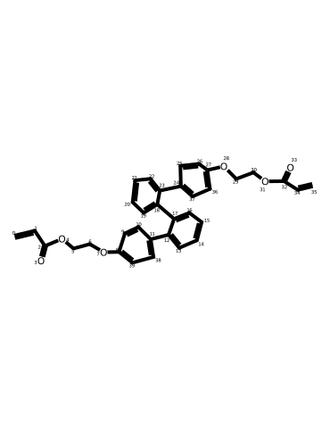 C=CC(=O)OCCOc1ccc(-c2ccccc2-c2ccccc2-c2ccc(OCCOC(=O)C=C)cc2)cc1